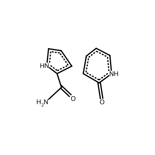 NC(=O)c1ccc[nH]1.O=c1cccc[nH]1